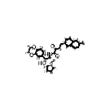 O=C(CCc1ccc2cc(F)ccc2c1)C(=O)N[C@H](CN1CCCC1)[C@H](O)c1ccc2c(c1)OCCO2